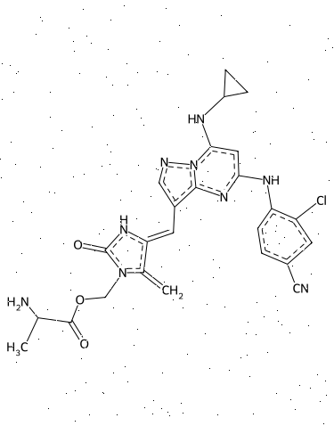 C=c1/c(=C/c2cnn3c(NC4CC4)cc(Nc4ccc(C#N)cc4Cl)nc23)[nH]c(=O)n1COC(=O)C(C)N